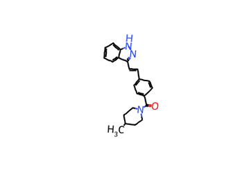 CC1CCN(C(=O)c2ccc(C=Cc3n[nH]c4ccccc34)cc2)CC1